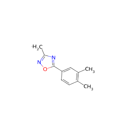 [CH2]c1noc(-c2ccc(C)c(C)c2)n1